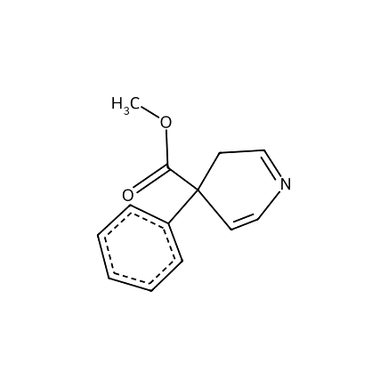 COC(=O)C1(c2ccccc2)C=CN=CC1